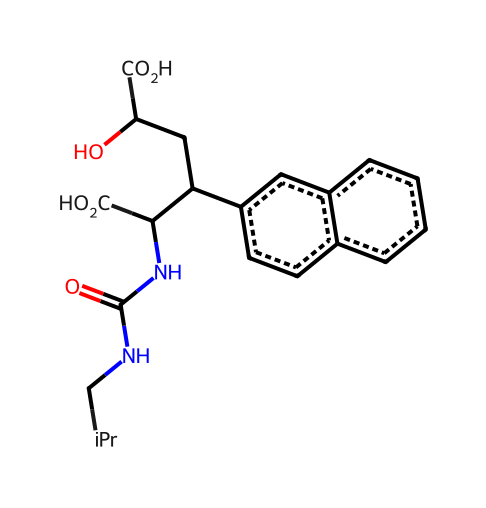 CC(C)CNC(=O)NC(C(=O)O)C(CC(O)C(=O)O)c1ccc2ccccc2c1